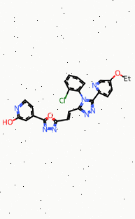 CCOc1ccc(-c2nnc(/C=C/c3nnc(-c4ccnc(O)c4)o3)n2-c2ccccc2Cl)nc1